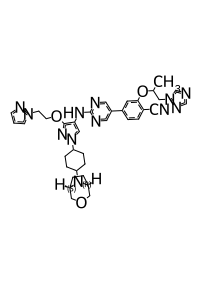 CC(Cn1cncn1)Oc1cc(-c2cnc(Nc3cn(C4CCC(N5[C@@H]6CC[C@H]5COC6)CC4)nc3OCCn3cccn3)nc2)ccc1C#N